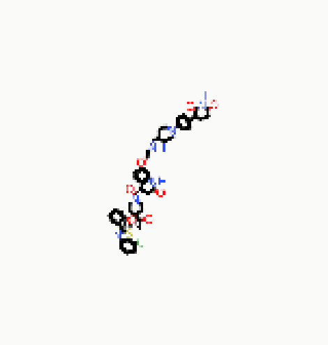 CNC(=O)C1(Oc2ccccc2-c2nc3cccc(Cl)c3s2)CCN(C(=O)[C@H]2CC(=O)Nc3cc(OCCNCC4CCN(c5ccc(C6CCC(=O)NC6=O)cc5)CC4)ccc32)CC1